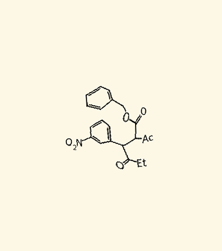 CCC(=O)C(c1cccc([N+](=O)[O-])c1)C(C(C)=O)C(=O)OCc1ccccc1